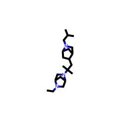 CCN1CC2CC1CN2C(C)(C)CC1CC2CC1CN2CC(C)C